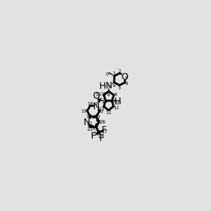 C[C@H]1COCC[C@@H]1N[C@@H]1C[C@H]2CCC[C@@]2(C(=O)N2CCc3ncc(C(F)(F)F)cc3C2)C1